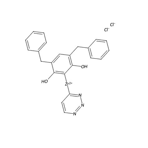 Oc1c(Cc2ccccc2)cc(Cc2ccccc2)c(O)[c]1[Zr+2][c]1ccnnn1.[Cl-].[Cl-]